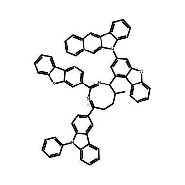 CC1CC/C(c2ccc3c(c2)c2ccccc2n3-c2ccccc2)=N\C(c2ccc3c(c2)sc2ccccc23)=N/C1c1cc(-n2c3ccccc3c3cc4ccccc4cc32)cc2oc3ccccc3c12